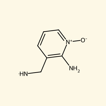 [NH]Cc1ccc[n+]([O-])c1N